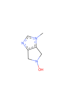 Cn1cnc2c1CN(O)C2